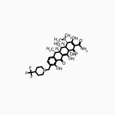 C[C@H]1c2ccc(CN3CCC(C(F)(F)F)CC3)c(O)c2C(=O)C2=C(O)[C@]3(O)C(=O)C(C(N)=O)=C(O)[C@@H](N(C)C)[C@@H]3[C@@H](O)[C@@H]21